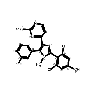 CSc1nccc(-c2nc(-c3c(Cl)cc(O)cc3Cl)n(O)c2-c2cccc(Br)c2)n1